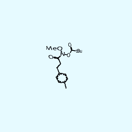 CON(OC(=O)C(C)(C)C)C(=O)CCc1ccc(C)cc1